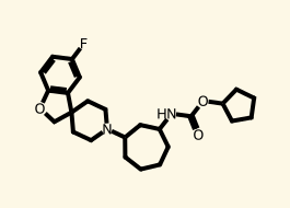 O=C(NC1CCCCC(N2CCC3(CC2)COc2ccc(F)cc23)C1)OC1CCCC1